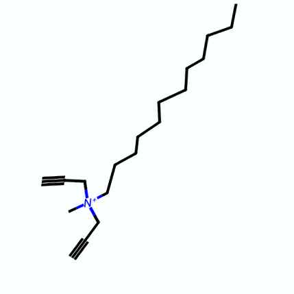 C#CC[N+](C)(CC#C)CCCCCCCCCCCC